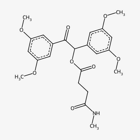 CNC(=O)CCC(=O)OC(C(=O)c1cc(OC)cc(OC)c1)c1cc(OC)cc(OC)c1